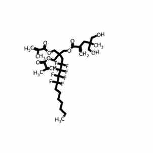 C=C(C)C(=O)OCC(COC(=O)C(=C)C)(COC(=O)C(=C)CC(C)(CO)CO)CC(F)(F)C(F)(F)C(F)(F)C(F)(F)CCCCCCC